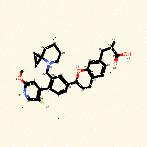 COc1cc(-c2ccc(C3CCc4ccc(CC(C)C(=O)O)cc4O3)cc2CN2CCCCC23CC3)c(F)cn1